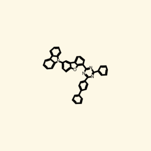 c1ccc(-c2ccc(-c3nc(-c4ccccc4)nc(-c4cccc5c4oc4ccc(-n6c7ccccc7c7ccccc76)cc45)n3)cc2)cc1